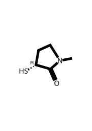 CN1CC[C@@H](S)C1=O